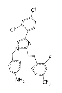 Nc1ccc(Cn2cc(-c3ccc(Cl)cc3Cl)nc2/C=C/c2ccc(C(F)(F)F)cc2F)cc1